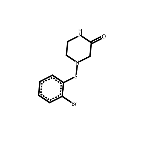 O=C1CN(Sc2ccccc2Br)CCN1